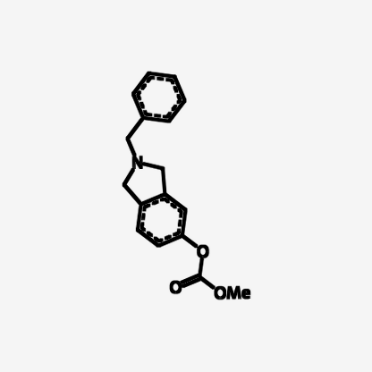 COC(=O)Oc1ccc2c(c1)CN(Cc1ccccc1)C2